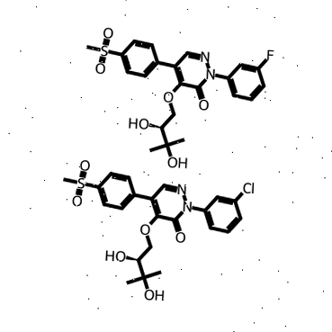 CC(C)(O)[C@@H](O)COc1c(-c2ccc(S(C)(=O)=O)cc2)cnn(-c2cccc(Cl)c2)c1=O.CC(C)(O)[C@@H](O)COc1c(-c2ccc(S(C)(=O)=O)cc2)cnn(-c2cccc(F)c2)c1=O